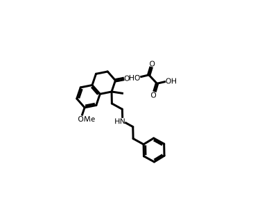 COc1ccc2c(c1)C(C)(CCNCCc1ccccc1)C(=O)CC2.O=C(O)C(=O)O